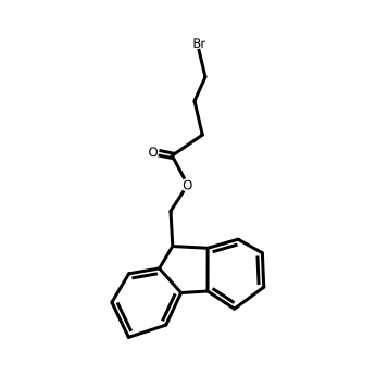 O=C(CCCBr)OCC1c2ccccc2-c2ccccc21